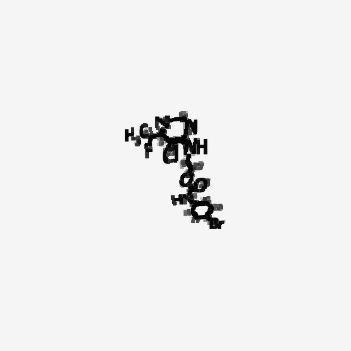 CC(F)c1ncnc(NCCOC(=O)Nc2ccc(Br)cc2)c1Cl